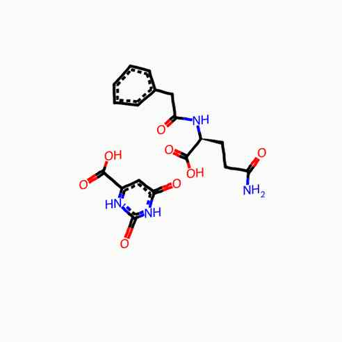 NC(=O)CC[C@H](NC(=O)Cc1ccccc1)C(=O)O.O=C(O)c1cc(=O)[nH]c(=O)[nH]1